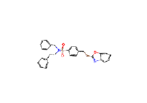 O=S(=O)(c1ccc(CSc2nc3ccccc3o2)cc1)N(CCc1ccccc1)Cc1ccccc1